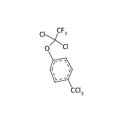 FC(F)(F)C(Cl)(Cl)Oc1ccc(C(Cl)(Cl)Cl)cc1